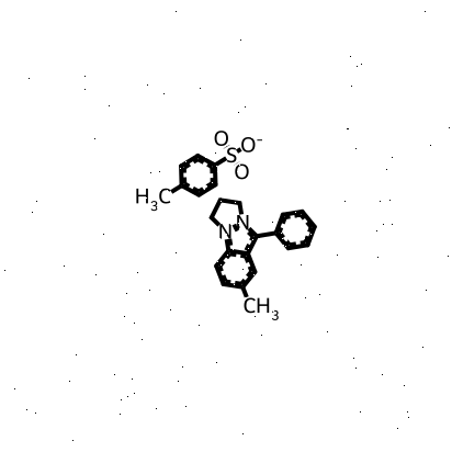 Cc1ccc(S(=O)(=O)[O-])cc1.Cc1ccc2c(c1)c(-c1ccccc1)n1[n+]2CCC1